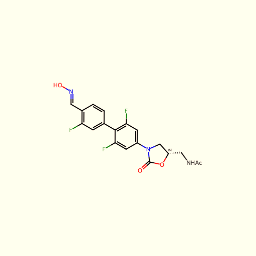 CC(=O)NC[C@H]1CN(c2cc(F)c(-c3ccc(C=NO)c(F)c3)c(F)c2)C(=O)O1